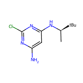 C[C@@H](Nc1cc(N)nc(Cl)n1)C(C)(C)C